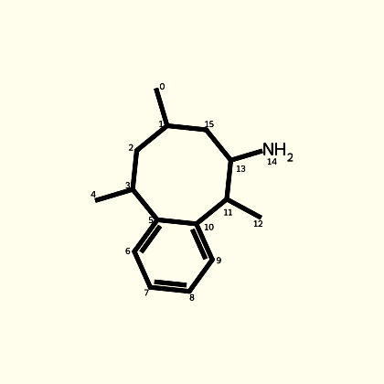 CC1CC(C)c2ccccc2C(C)C(N)C1